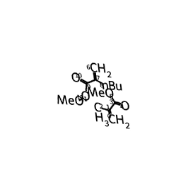 C=C(C)C(=O)OC.C=C(CCCC)C(=O)OOC